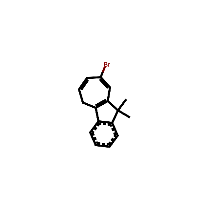 CC1(C)C2=C(CC=CC(Br)=C2)c2ccccc21